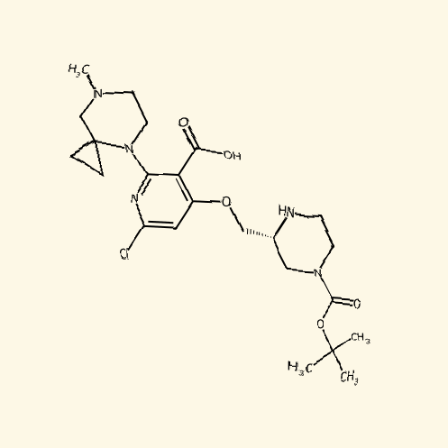 CN1CCN(c2nc(Cl)cc(OC[C@H]3CN(C(=O)OC(C)(C)C)CCN3)c2C(=O)O)C2(CC2)C1